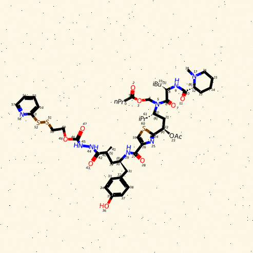 CCCC(=O)OCN(C(=O)C(NC(=O)[C@H]1CCCCN1C)[C@@H](C)CC)[C@H](C[C@@H](OC(C)=O)c1nc(C(=O)N[C@@H](Cc2ccc(O)cc2)C[C@H](C)C(=O)NNC(=O)OCCSSc2ccccn2)cs1)C(C)C